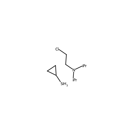 CC(C)N(CCCl)C(C)C.[SiH3]C1CC1